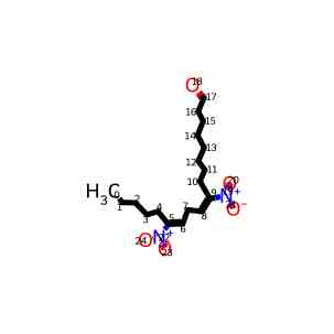 CCCCC/C(=C\C/C=C(\CCCCCCC[C]=O)[N+](=O)[O-])[N+](=O)[O-]